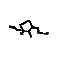 C=CCC1(CC)CCCC(=CSCCCC)C1=O